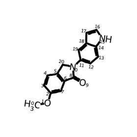 COc1ccc2c(c1)C(=O)N(c1ccc3[nH]ccc3c1)C2